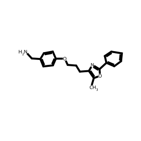 Cc1oc(-c2ccccc2)nc1CCCOc1ccc(CN)cc1